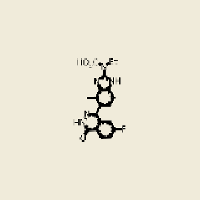 CCN(C(=O)O)c1nc2c(C)c(-c3n[nH]c(=O)c4ccc(F)cc34)ccc2[nH]1